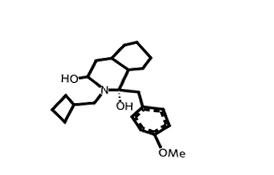 COc1ccc(C[C@]2(O)C3CCCCC3CC(O)N2CC2CCC2)cc1